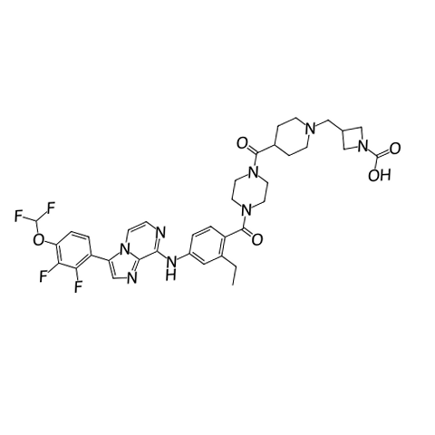 CCc1cc(Nc2nccn3c(-c4ccc(OC(F)F)c(F)c4F)cnc23)ccc1C(=O)N1CCN(C(=O)C2CCN(CC3CN(C(=O)O)C3)CC2)CC1